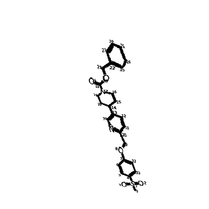 CS(=O)(=O)c1ccc(OCc2ccc(C3CCN(C(=O)OCc4ccccc4)CC3)cn2)cc1